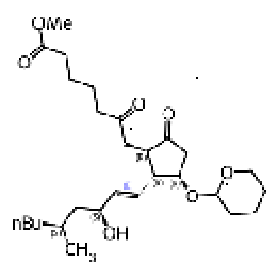 CCCC[C@H](C)C[C@H](O)/C=C/[C@H]1[C@H](OC2CCCCO2)CC(=O)[C@@H]1CC(=O)CCCCC(=O)OC